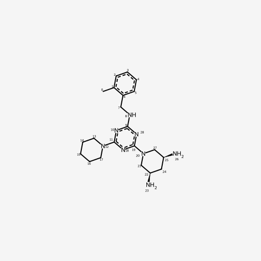 Cc1ccccc1CNc1nc(N2CCCCC2)nc(N2C[C@H](N)C[C@H](N)C2)n1